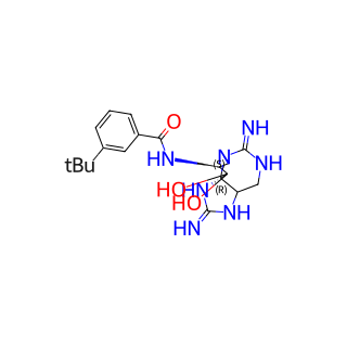 CC(C)(C)c1cccc(C(=O)N[C@H]2CN3C(=N)NCC4NC(=N)N[C@]43C2(O)O)c1